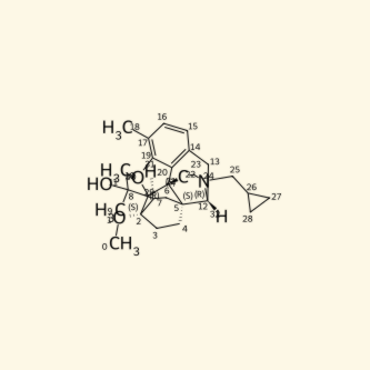 CO[C@@]12CC[C@@]3(C[C@@H]1C(C)(C)O)[C@H]1Cc4ccc(C)c5c4[C@@]3(CCN1CC1CC1)C2O5